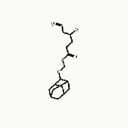 C=CCC(CC)CCC(=O)OCOC1C2CC3CC(C2)CC1C3